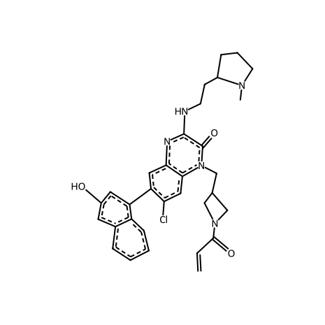 C=CC(=O)N1CC(Cn2c(=O)c(NCCC3CCCN3C)nc3cc(-c4cc(O)cc5ccccc45)c(Cl)cc32)C1